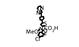 COCCN(C(=O)c1ccc(Cl)cc1F)c1cc(-c2ccc(-c3cc4ncccn4n3)cc2)sc1C(=O)O